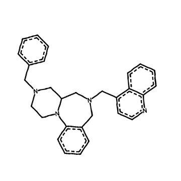 c1ccc(CN2CCN3c4ccccc4CN(Cc4ccnc5ccccc45)CC3C2)cc1